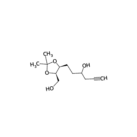 C#CCC(O)CC[C@@H]1OC(C)(C)O[C@@H]1CO